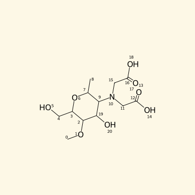 COC1C(CO)OC(C)C(N(CC(=O)O)CC(=O)O)C1O